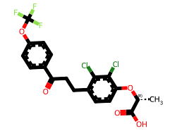 C[C@@H](Oc1ccc(CCC(=O)c2ccc(OC(F)(F)F)cc2)c(Cl)c1Cl)C(=O)O